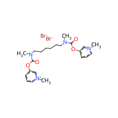 CN(CCCCCCN(C)C(=O)Oc1ccc[n+](C)c1)C(=O)Oc1ccc[n+](C)c1.[Br-].[Br-]